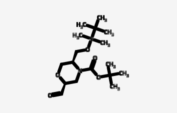 CC(C)(C)OC(=O)N1C[C@@H](C=O)OC[C@H]1CO[Si](C)(C)C(C)(C)C